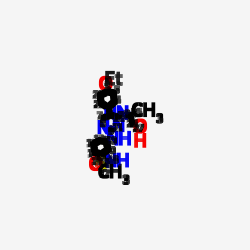 CCOc1ccc(-c2cnc(Nc3cccc(S(C)(=N)=O)c3)nc2N[C@H](C)CO)cc1